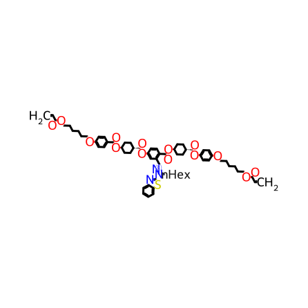 C=CC(=O)OCCCCCCOc1ccc(OC(=O)[C@H]2CC[C@H](OC(=O)c3ccc(OC(=O)[C@H]4CC[C@H](OC(=O)c5ccc(OCCCCCCOC(=O)C=C)cc5)CC4)cc3/C=N/N(CCCCCC)c3nc4ccccc4s3)CC2)cc1